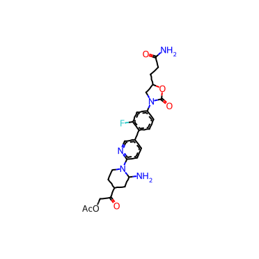 CC(=O)OCC(=O)C1CCN(c2ccc(-c3ccc(N4CC(CCC(N)=O)OC4=O)cc3F)cn2)C(N)C1